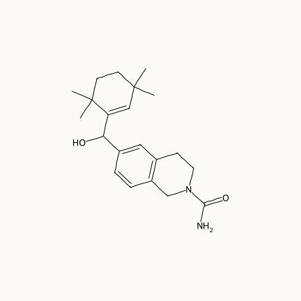 CC1(C)C=C(C(O)c2ccc3c(c2)CCN(C(N)=O)C3)C(C)(C)CC1